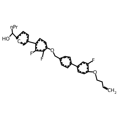 C=CCCOc1ccc(-c2ccc(COc3ccc(-c4ccc(C(O)CCC)cc4)c(F)c3F)cc2)cc1F